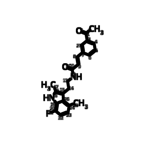 CC(=O)c1cccc(C=CC(=O)NCCc2c(C)[nH]c3c(F)ccc(C)c23)c1